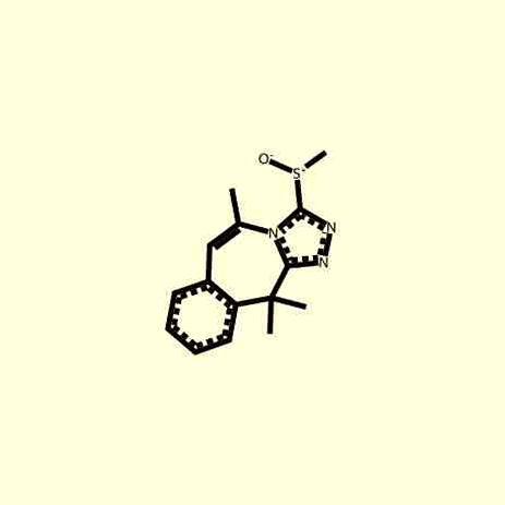 CC1=Cc2ccccc2C(C)(C)c2nnc([S+](C)[O-])n21